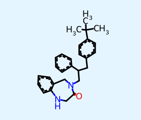 CC(C)(C)c1ccc(CC(CN2Cc3ccccc3NCC2=O)c2ccccc2)cc1